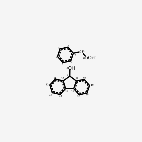 CCCCCCCCOc1ccccc1.OC1c2ccccc2-c2ccccc21